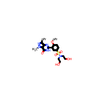 CCCOc1ccc(S(=O)(=O)N(CCO)CCO)cc1-c1nc2c(CCC)nn(C)c2c(=O)[nH]1